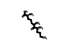 CSCC[C@H](N)C(=O)C(N)CCC[C@H](N)C(=O)O